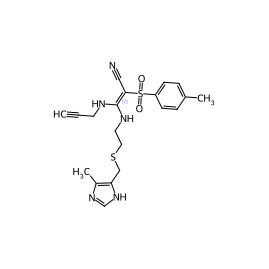 C#CCN/C(NCCSCc1[nH]cnc1C)=C(\C#N)S(=O)(=O)c1ccc(C)cc1